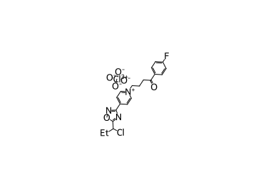 CCC(Cl)c1nc(-c2cc[n+](CCCC(=O)c3ccc(F)cc3)cc2)no1.[O-][Cl+3]([O-])([O-])[O-]